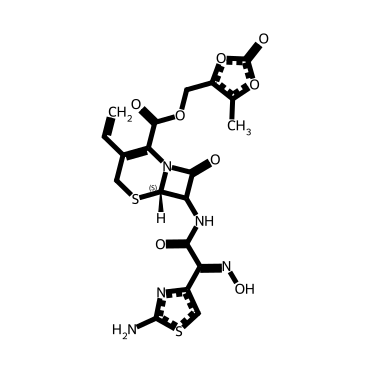 C=CC1=C(C(=O)OCc2oc(=O)oc2C)N2C(=O)C(NC(=O)C(=NO)c3csc(N)n3)[C@@H]2SC1